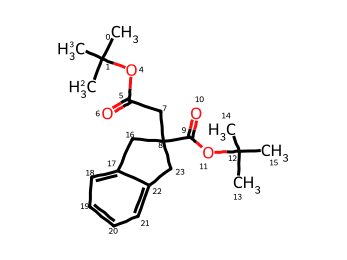 CC(C)(C)OC(=O)CC1(C(=O)OC(C)(C)C)Cc2ccccc2C1